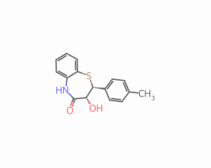 Cc1ccc([C@@H]2Sc3ccccc3NC(=O)[C@@H]2O)cc1